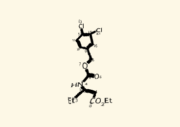 CCOC(=O)C=C(CC)NC(=O)OCc1ccc(Cl)c(Cl)c1